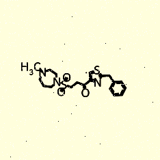 CN1CCCN(S(=O)(=O)CCC(=O)c2[c]sc(Cc3ccccc3)n2)CC1